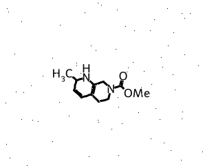 COC(=O)N1CCC2=C(C1)NC(C)C=C2